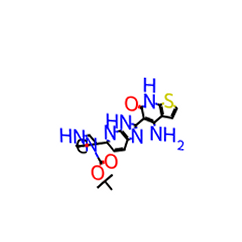 CC(C)(C)OC(=O)N1CC2CCC1(c1ccc3nc(-c4c(N)c5ccsc5[nH]c4=O)[nH]c3n1)CN2